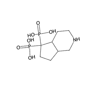 O=P(O)(O)C1(P(=O)(O)O)CCC2CNCCC21